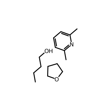 C1CCOC1.CCCCO.Cc1cccc(C)n1